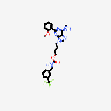 CNc1nc(-c2ccccc2OC)nc2c1ncn2CCCCOC(=O)NCc1cccc(C(F)(F)F)c1